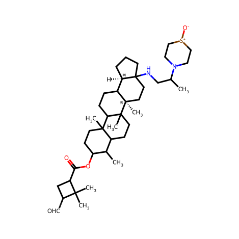 CC1C(OC(=O)C2CC(C=O)C2(C)C)CCC2(C)C1CCC1(C)C2CCC2[C@H]3CCCC3(NCC(C)N3CC[S+]([O-])CC3)CC[C@]21C